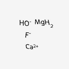 [Ca+2].[F-].[MgH2].[OH-]